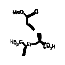 C=C(CC)C(=O)O.C=CC(=O)O.C=CC(=O)OC